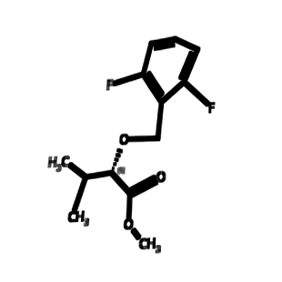 COC(=O)[C@@H](OCc1c(F)cccc1F)C(C)C